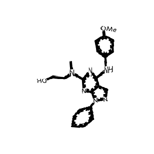 COc1ccc(Nc2nc(N(C)CCO)nc3c2cnn3-c2ccccc2)cc1